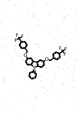 FC(F)(F)c1ccc(COc2ccc3c(c2)-c2cc(OCc4ccc(C(F)(F)F)cc4)ccc2[SH]3c2ccccc2)cc1